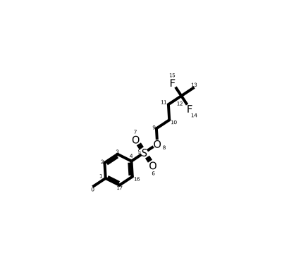 Cc1ccc(S(=O)(=O)OCCCC(C)(F)F)cc1